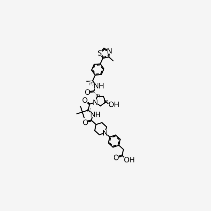 Cc1ncsc1-c1ccc([C@H](C)NC(=O)[C@@H]2C[C@@H](O)CN2C(=O)[C@@H](NC(=O)C2CCN(c3ccc(CC(=O)O)cc3)CC2)C(C)(C)C)cc1